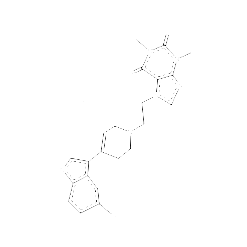 Cl.Cn1c(=O)c2c(ncn2CCN2CC=C(c3c[nH]c4ccc(Br)cc34)CC2)n(C)c1=O